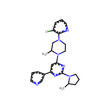 CC1CN(c2ncccc2Cl)CCN1c1cc(-c2cccnc2)nc(N2CCCC2C)n1